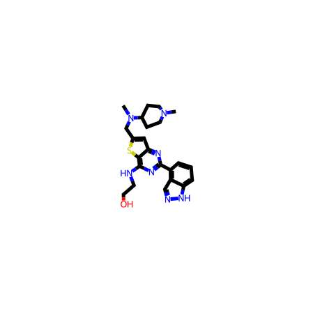 CN1CCC(N(C)Cc2cc3nc(-c4cccc5[nH]ncc45)nc(NCCO)c3s2)CC1